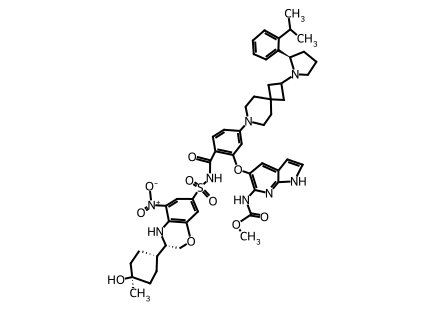 COC(=O)Nc1nc2[nH]ccc2cc1Oc1cc(N2CCC3(CC2)CC(N2CCC[C@@H]2c2ccccc2C(C)C)C3)ccc1C(=O)NS(=O)(=O)c1cc2c(c([N+](=O)[O-])c1)N[C@@H]([C@H]1CC[C@](C)(O)CC1)CO2